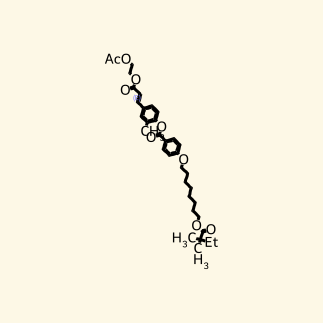 CCC(C)(C)C(=O)OCCCCCCCCOc1ccc(C(=O)Oc2ccc(/C=C/C(=O)OCCOC(C)=O)cc2C)cc1